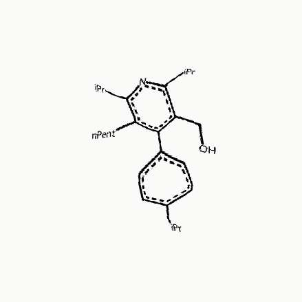 CCCCCc1c(C(C)C)nc(C(C)C)c(CO)c1-c1ccc(C(C)C)cc1